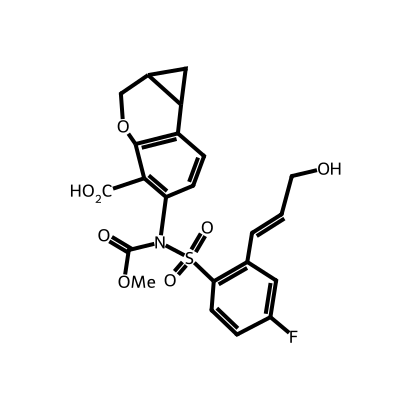 COC(=O)N(c1ccc2c(c1C(=O)O)OCC1CC21)S(=O)(=O)c1ccc(F)cc1C=CCO